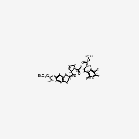 CCOC(=O)C(Oc1ccc2c(c1)CN(C(=O)C1SCCN1C(=O)C[C@@H](Cc1cc(F)c(F)cc1F)NC(=O)OC(C)(C)C)CC2)C(C)C